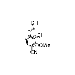 COc1c(C#N)ccc(CCO)c1Cl